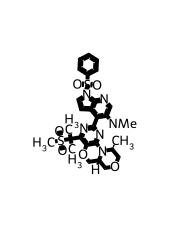 CNc1cnc2c(ccn2S(=O)(=O)c2ccccc2)c1-c1nc2c(c(C(C)(C)S(C)(=O)=O)n1)OC[C@H]1COC[C@@H](C)N21